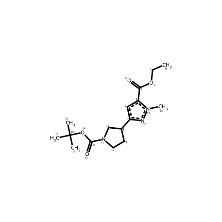 CCOC(=O)c1cc(C2CCN(C(=O)OC(C)(C)C)C2)nn1C